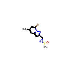 Cc1cc(Br)n2nc(CN[S@+]([O-])C(C)(C)C)cc2c1